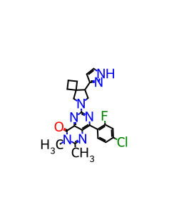 Cc1nc2c(-c3ccc(Cl)cc3F)nc(N3CC(c4cc[nH]n4)C4(CCC4)C3)nc2c(=O)n1C